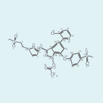 CS(=O)(=O)CCn1ccc(Nc2nn(OC(=O)C(F)(F)F)c3c(Oc4ccc(S(C)(=O)=O)cc4)cc(-c4ncccc4Cl)cc23)n1